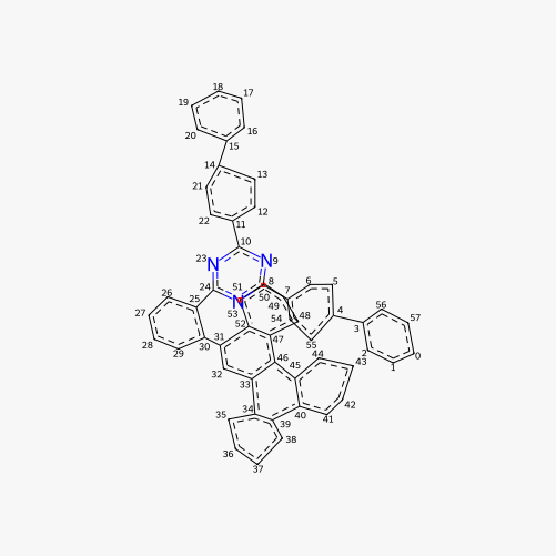 c1ccc(-c2ccc(-c3nc(-c4ccc(-c5ccccc5)cc4)nc(-c4ccccc4-c4cc5c6ccccc6c6ccccc6c5c5ccccc45)n3)cc2)cc1